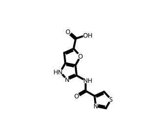 O=C(Nc1n[nH]c2cc(C(=O)O)oc12)c1cscn1